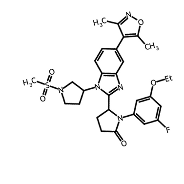 CCOc1cc(F)cc(N2C(=O)CCC2c2nc3cc(-c4c(C)noc4C)ccc3n2C2CCN(S(C)(=O)=O)C2)c1